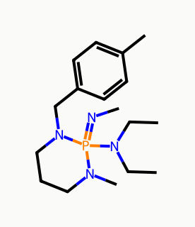 CCN(CC)P1(=NC)N(C)CCCN1Cc1ccc(C)cc1